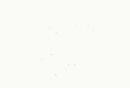 Cc1ccc(C(=O)Nc2cc(N3CCCN(C)CC3)cc(C(F)(F)F)c2)cc1Nc1ncnc2cnc(N3CCOCC3)nc12